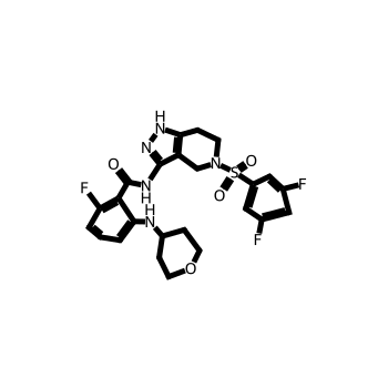 O=C(Nc1n[nH]c2c1CN(S(=O)(=O)c1cc(F)cc(F)c1)CC2)c1c(F)cccc1NC1CCOCC1